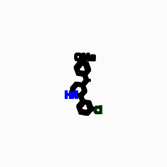 COc1ccc([CH]C2CCNC(c3cccc(Cl)c3)C2)cc1